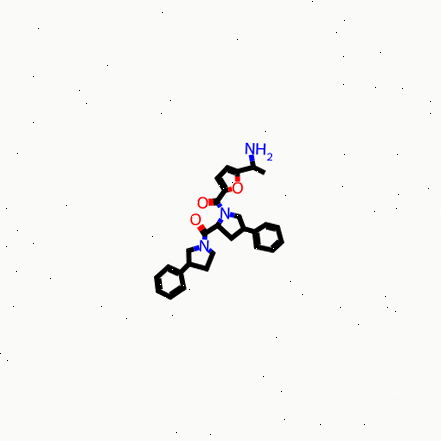 CC(N)c1ccc(C(=O)N2CC(c3ccccc3)CC2C(=O)N2CCC(c3ccccc3)C2)o1